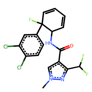 Cn1cc(C(=O)NC2C=CC=CC2(F)c2ccc(Cl)c(Cl)c2)c(C(F)F)n1